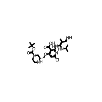 C/C(C=N)=C(\Nc1nc(Cl)cc(OC[C@H]2CN(C(=O)OC(C)(C)C)CCN2)c1C(=O)O)NC(C)C